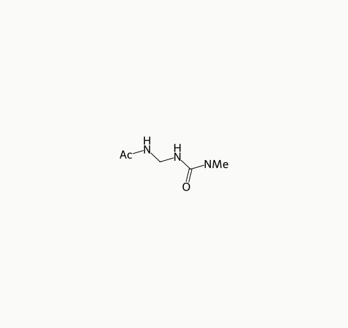 CNC(=O)NCNC(C)=O